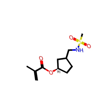 C=C(C)C(=O)O[C@@H]1CCC(CNS(C)(=O)=O)C1